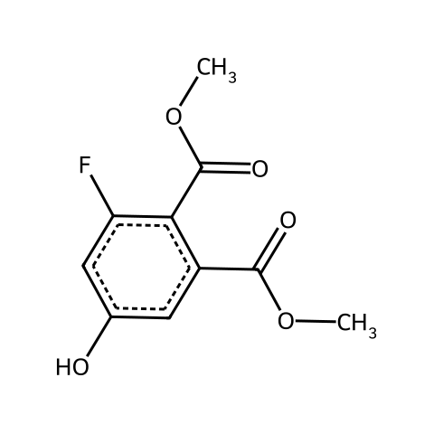 COC(=O)c1cc(O)cc(F)c1C(=O)OC